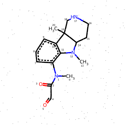 CN(C(=O)C=O)c1cccc2c1N(C)C1CCNCC21C